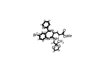 COC(=O)CCC1N=C(c2ccccn2)c2cc(Br)ccc2N=C1NCC1(C)OCCO1